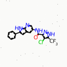 O=C(Nc1cnc2[nH]c(-c3ccccc3)cc2c1)c1n[nH]c(C(F)(F)F)c1Cl